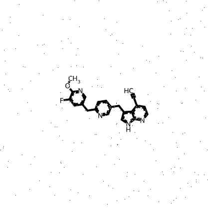 C#Cc1ccnc2[nH]cc(Cc3ccc([CH]c4cnc(OC)c(F)c4)nc3)c12